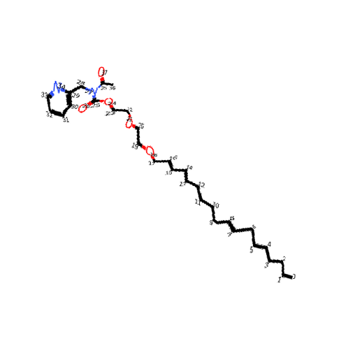 CCCCCCCCCCCCCCCCCCOCCOCCOC(=O)N(Cc1ccccn1)C(C)=O